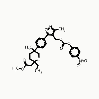 CCC1(CC(=O)OC)CCC(C)(c2ccc(-c3onc(C)c3COC(=O)Oc3ccc([N+](=O)[O-])cc3)cc2)CO1